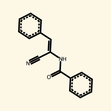 N#C/C(=C\c1ccccc1)NC(=O)c1ccccc1